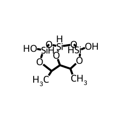 CC1O[SiH](O)O[SiH]2OC1C(C)O[SiH](O)O2